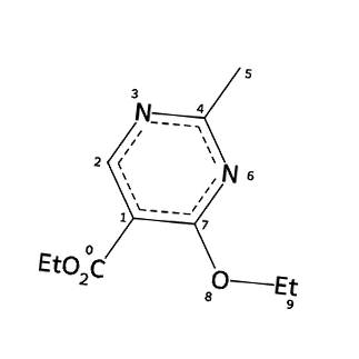 CCOC(=O)c1cnc(C)nc1OCC